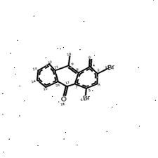 C=c1c(Br)cc(Br)c2c1=C(C)c1ccccc1C2=O